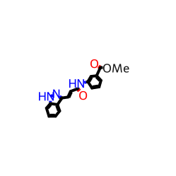 COC(=O)c1cccc(NC(=O)C=Cc2n[nH]c3ccccc23)c1